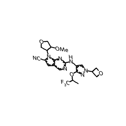 COC1COCC1n1c(C#N)cc2cnc(Nc3cn(C4COC4)nc3OC(C)C(F)(F)F)nc21